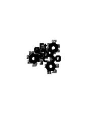 CCC(n1c(C)c(C(=O)c2ccccc2)c2ccccc21)S(=O)(=O)c1ccccc1